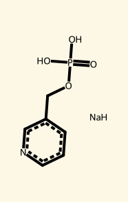 O=P(O)(O)OCc1cccnc1.[NaH]